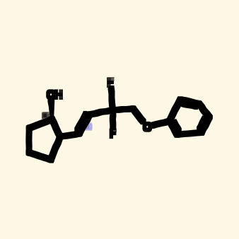 O[C@@H]1CCCC1/C=C/C(F)(F)COc1ccccc1